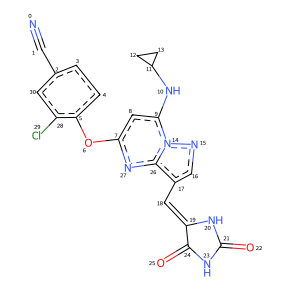 N#Cc1ccc(Oc2cc(NC3CC3)n3ncc(C=C4NC(=O)NC4=O)c3n2)c(Cl)c1